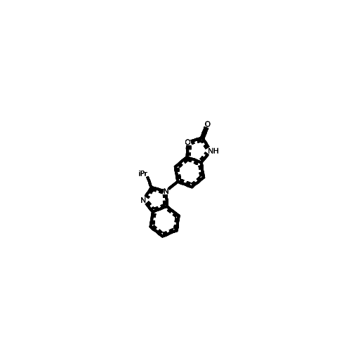 CC(C)c1nc2ccccc2n1-c1ccc2[nH]c(=O)oc2c1